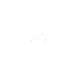 Cc1ncc(Nc2cc(F)cc(N3CCCCC3)c2)cc1C(=O)Nc1ccc(NCC2CC2)nc1